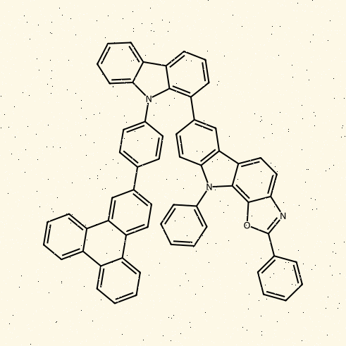 c1ccc(-c2nc3ccc4c5cc(-c6cccc7c8ccccc8n(-c8ccc(-c9ccc%10c%11ccccc%11c%11ccccc%11c%10c9)cc8)c67)ccc5n(-c5ccccc5)c4c3o2)cc1